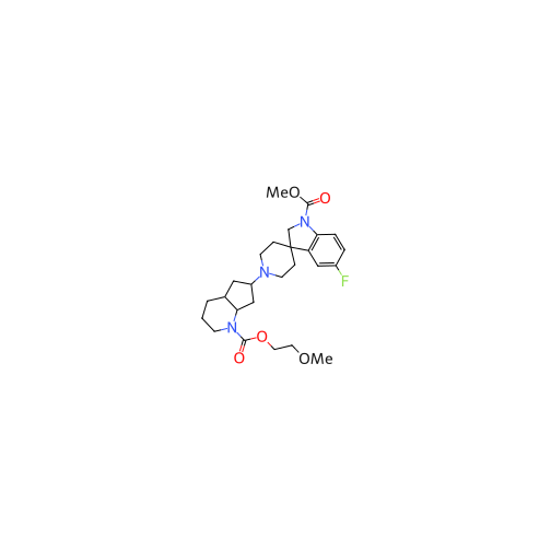 COCCOC(=O)N1CCCC2CC(N3CCC4(CC3)CN(C(=O)OC)c3ccc(F)cc34)CC21